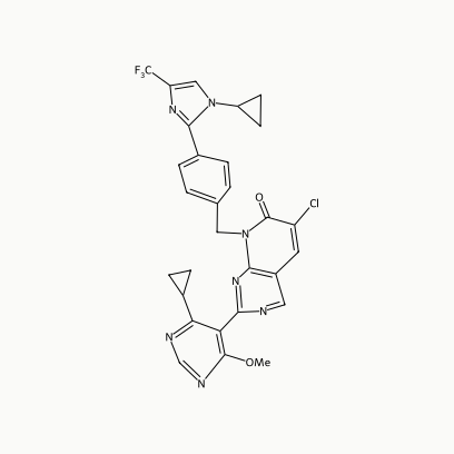 COc1ncnc(C2CC2)c1-c1ncc2cc(Cl)c(=O)n(Cc3ccc(-c4nc(C(F)(F)F)cn4C4CC4)cc3)c2n1